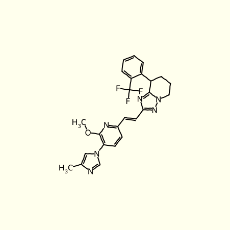 COc1nc(C=Cc2nc3n(n2)CCCC3c2ccccc2C(F)(F)F)ccc1-n1cnc(C)c1